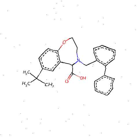 CC(C)(C)c1ccc2c(c1)C(C(=O)O)N(Cc1ccccc1-c1ccccc1)CCO2